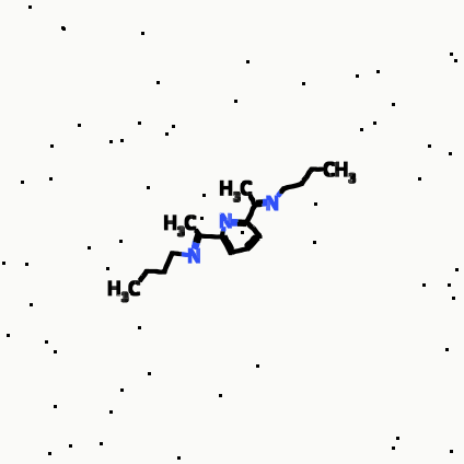 CCCC/N=C(\C)c1cccc(/C(C)=N/CCCC)n1